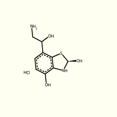 Cl.NCC(O)c1ccc(O)c2c1S[C@@H](O)N2